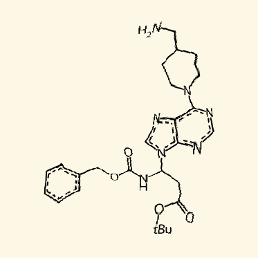 CC(C)(C)OC(=O)CC(NC(=O)OCc1ccccc1)n1cnc2c(N3CCC(CN)CC3)ncnc21